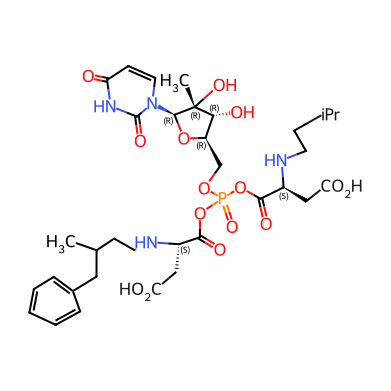 CC(C)CCN[C@@H](CC(=O)O)C(=O)OP(=O)(OC[C@H]1O[C@@H](n2ccc(=O)[nH]c2=O)[C@](C)(O)[C@@H]1O)OC(=O)[C@H](CC(=O)O)NCCC(C)Cc1ccccc1